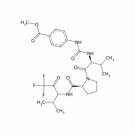 COC(=O)c1ccc(NC(=O)N[C@H](C(=O)N2CCC[C@H]2C(=O)NC(C(=O)C(F)(F)F)C(C)C)C(C)C)cc1